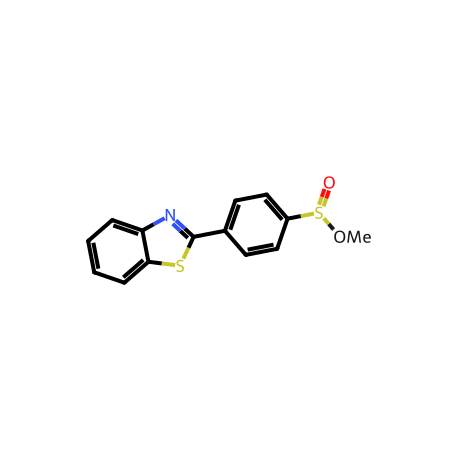 COS(=O)c1ccc(-c2nc3ccccc3s2)cc1